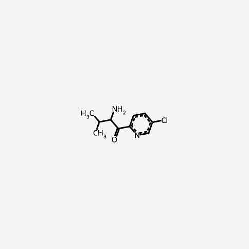 CC(C)C(N)C(=O)c1ccc(Cl)cn1